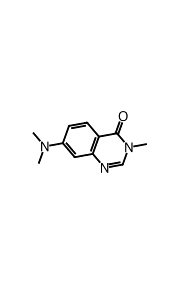 CN(C)c1ccc2c(=O)n(C)cnc2c1